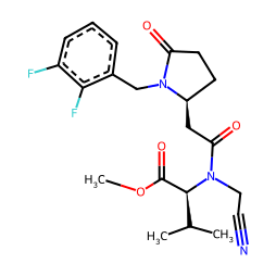 COC(=O)[C@H](C(C)C)N(CC#N)C(=O)C[C@@H]1CCC(=O)N1Cc1cccc(F)c1F